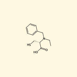 CCN(Cc1ccccc1)[C@@H](CS)C(=O)O